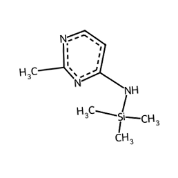 Cc1nccc(N[Si](C)(C)C)n1